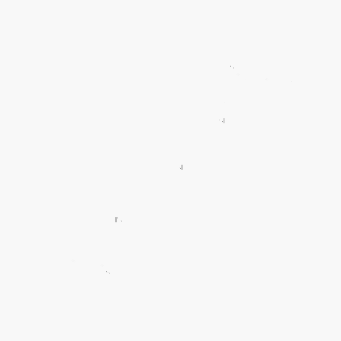 Fc1ccc2c(NCCCCNCCCNc3ccnc4cc(F)ccc34)ccnc2c1